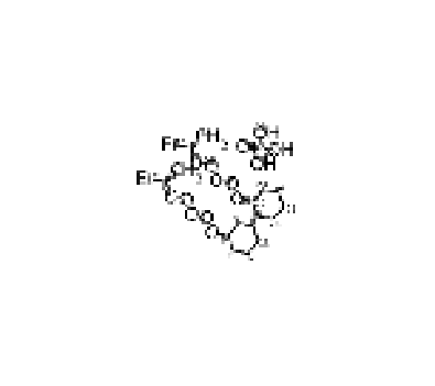 C=C(CC)OOOOOC1CCCCC1.C=C(CC)OOOOOC1CCCCC1.O=P(O)(O)O